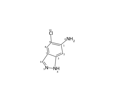 Nc1cc2[nH]ncc2cc1Cl